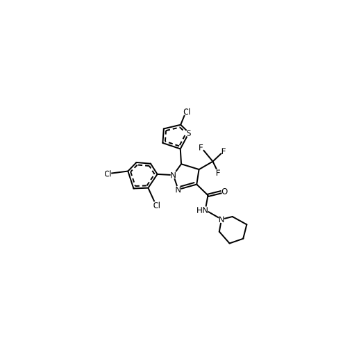 O=C(NN1CCCCC1)C1=NN(c2ccc(Cl)cc2Cl)C(c2ccc(Cl)s2)C1C(F)(F)F